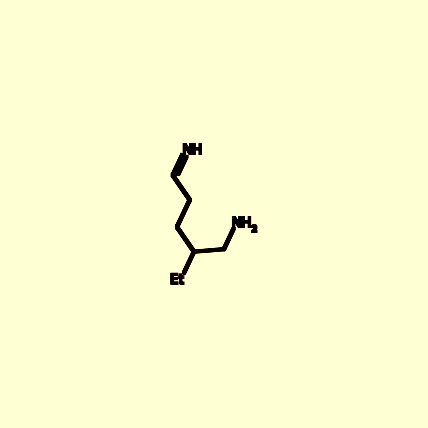 CCC(CN)CCC=N